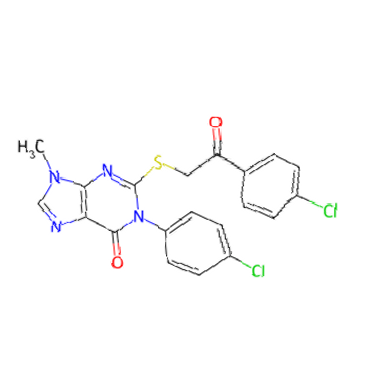 Cn1cnc2c(=O)n(-c3ccc(Cl)cc3)c(SCC(=O)c3ccc(Cl)cc3)nc21